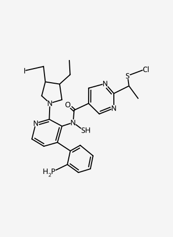 CCC1CN(c2nccc(-c3ccccc3P)c2N(S)C(=O)c2cnc(C(C)SCl)nc2)CC1CI